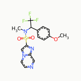 COc1ccc(C(N(C)S(=O)(=O)c2cn3ccncc3n2)C(F)(F)F)cc1